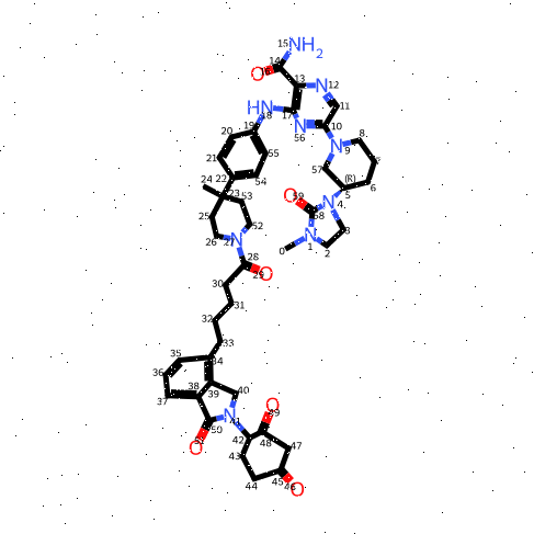 CN1CCN([C@@H]2CCCN(c3cnc(C(N)=O)c(Nc4ccc(C5(C)CCN(C(=O)CCCCc6cccc7c6CN(C6CCC(=O)CC6=O)C7=O)CC5)cc4)n3)C2)C1=O